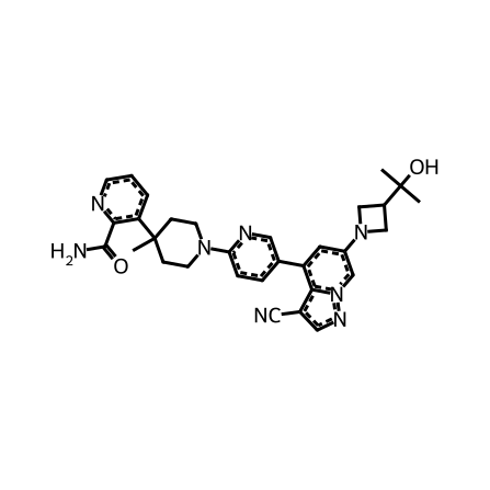 CC1(c2cccnc2C(N)=O)CCN(c2ccc(-c3cc(N4CC(C(C)(C)O)C4)cn4ncc(C#N)c34)cn2)CC1